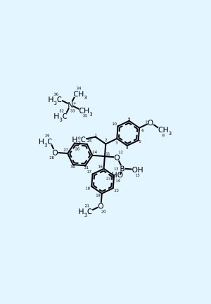 CCC(c1ccc(OC)cc1)C(OB(O)O)(c1ccc(OC)cc1)c1ccc(OC)cc1.C[N+](C)(C)C